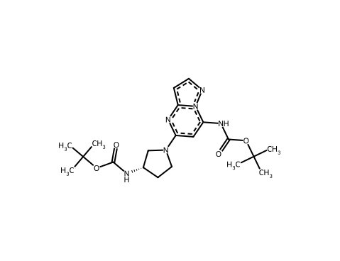 CC(C)(C)OC(=O)Nc1cc(N2CC[C@H](NC(=O)OC(C)(C)C)C2)nc2ccnn12